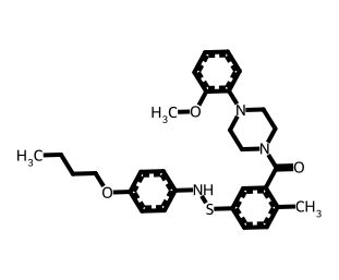 CCCCOc1ccc(NSc2ccc(C)c(C(=O)N3CCN(c4ccccc4OC)CC3)c2)cc1